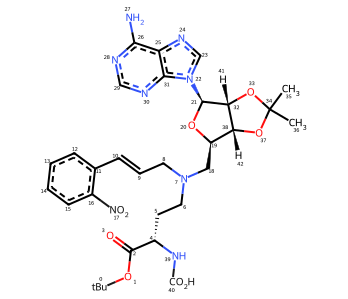 CC(C)(C)OC(=O)[C@H](CCN(C/C=C/c1ccccc1[N+](=O)[O-])C[C@H]1O[C@@H](n2cnc3c(N)ncnc32)[C@@H]2OC(C)(C)O[C@@H]21)NC(=O)O